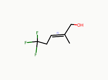 C/C(=C\CC(F)(F)F)CO